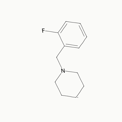 Fc1ccccc1CN1CC[CH]CC1